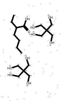 CCCCC(CC)C(=O)O.OCC(CO)(CO)CO.OCC(CO)(CO)CO